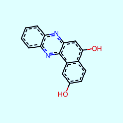 Oc1ccc2c(O)cc3nc4ccccc4nc3c2c1